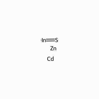 [Cd].[S]=[In].[Zn]